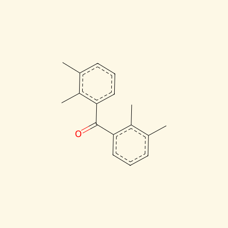 Cc1cccc(C(=O)c2cccc(C)c2C)c1C